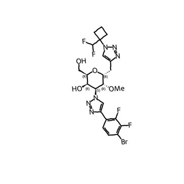 CO[C@@H]1[C@@H](n2cc(-c3ccc(Br)c(F)c3F)nn2)[C@@H](O)[C@@H](CO)O[C@@H]1Cc1cn(C2(C(F)F)CCC2)nn1